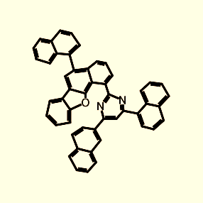 c1ccc2cc(-c3cc(-c4cccc5ccccc45)nc(-c4cccc5c(-c6cccc7ccccc67)cc6c7ccccc7oc6c45)n3)ccc2c1